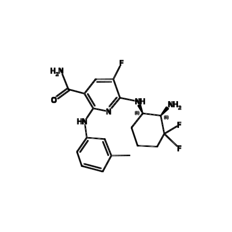 Cc1cccc(Nc2nc(N[C@@H]3CCCC(F)(F)[C@@H]3N)c(F)cc2C(N)=O)c1